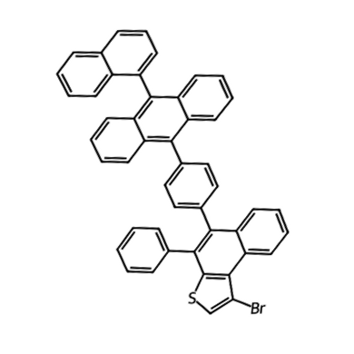 Brc1csc2c(-c3ccccc3)c(-c3ccc(-c4c5ccccc5c(-c5cccc6ccccc56)c5ccccc45)cc3)c3ccccc3c12